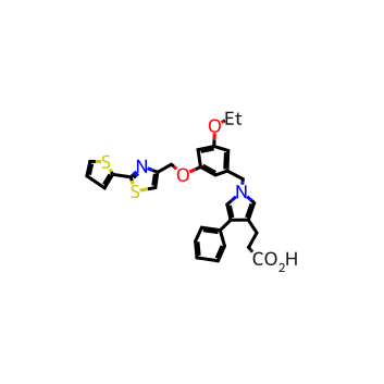 CCOc1cc(Cn2cc(CCC(=O)O)c(-c3ccccc3)c2)cc(OCc2csc(-c3cccs3)n2)c1